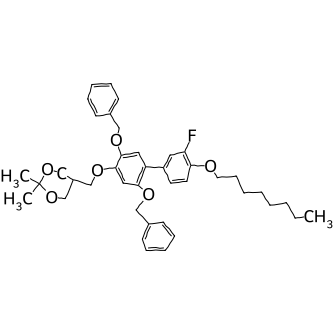 CCCCCCCCOc1ccc(-c2cc(OCc3ccccc3)c(OCC3COC(C)(C)OC3)cc2OCc2ccccc2)cc1F